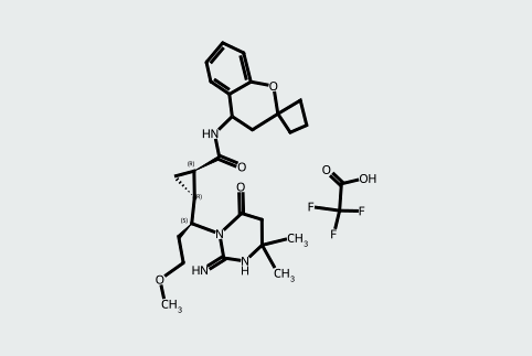 COCC[C@@H]([C@@H]1C[C@H]1C(=O)NC1CC2(CCC2)Oc2ccccc21)N1C(=N)NC(C)(C)CC1=O.O=C(O)C(F)(F)F